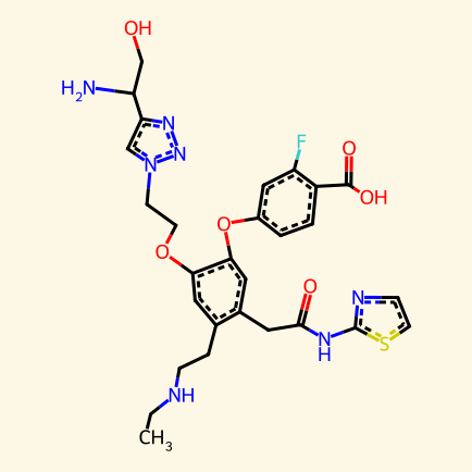 CCNCCc1cc(OCCn2cc(C(N)CO)nn2)c(Oc2ccc(C(=O)O)c(F)c2)cc1CC(=O)Nc1nccs1